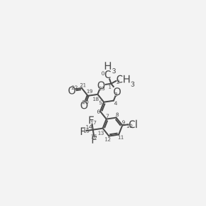 CC1(C)OCC(=Cc2cc(Cl)ccc2C(F)(F)F)C(C(=O)C=O)O1